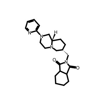 O=C1C2CCCCC2C(=O)N1C[C@H]1CC[C@H]2CN(c3ccccn3)CCN2C1